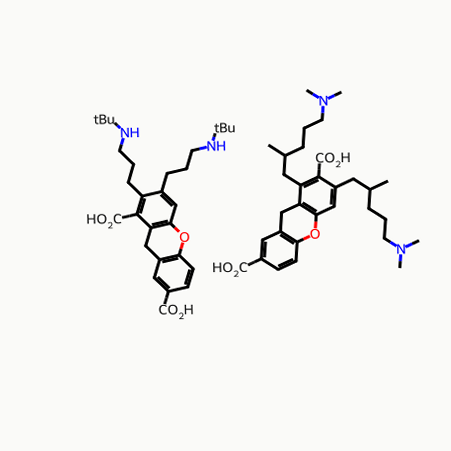 CC(C)(C)NCCCc1cc2c(c(C(=O)O)c1CCCNC(C)(C)C)Cc1cc(C(=O)O)ccc1O2.CC(CCCN(C)C)Cc1cc2c(c(CC(C)CCCN(C)C)c1C(=O)O)Cc1cc(C(=O)O)ccc1O2